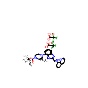 Cn1c(CNC2CCCc3cccnc32)nc2cccc(N3CCN(C(=O)OC(C)(C)C)CC3)c21.O=C(O)C(F)(F)F.O=C(O)C(F)(F)F